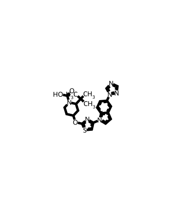 CC(C)(C)C1CC(Oc2nc(-n3ccc4cc(-n5cncn5)ccc43)cs2)CCN1C(=O)O